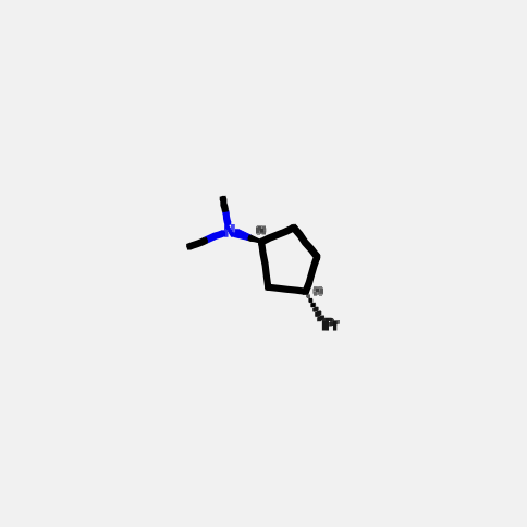 CC(C)[C@H]1CC[C@H](N(C)C)C1